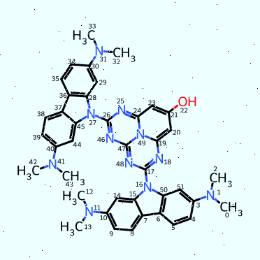 CN(C)c1ccc2c3ccc(N(C)C)cc3n(C3=NC4=CC(O)=CC5=NC(n6c7cc(N(C)C)ccc7c7ccc(N(C)C)cc76)=NC(=N3)N45)c2c1